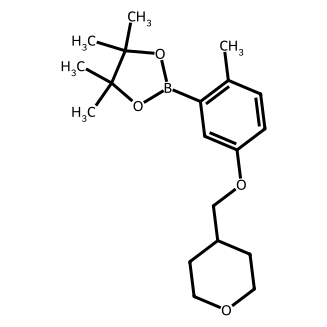 Cc1ccc(OCC2CCOCC2)cc1B1OC(C)(C)C(C)(C)O1